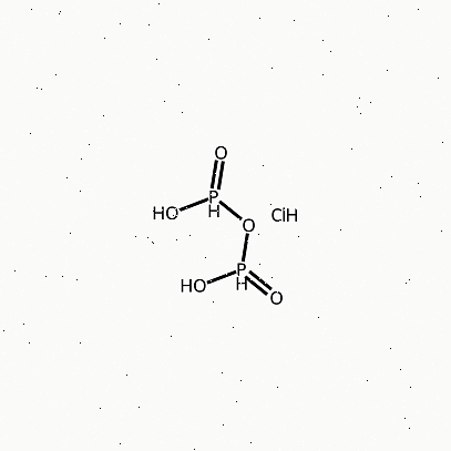 Cl.O=[PH](O)O[PH](=O)O